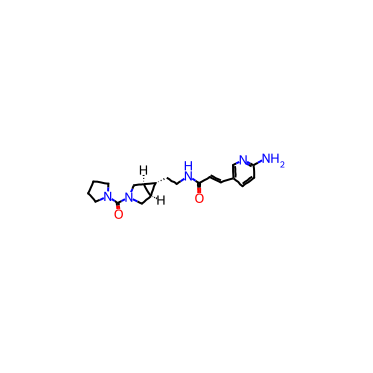 Nc1ccc(/C=C/C(=O)NCC[C@@H]2[C@H]3CN(C(=O)N4CCCC4)C[C@@H]23)cn1